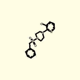 O=S(=O)(Cc1ccccc1)N1CCN(c2ncccc2Cl)CC1